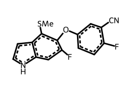 CSc1c(Oc2ccc(F)c(C#N)c2)c(F)cc2[nH]ccc12